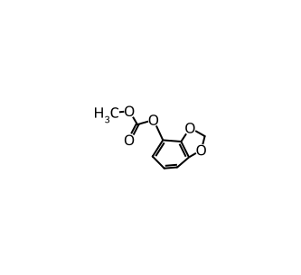 COC(=O)Oc1cccc2c1OCO2